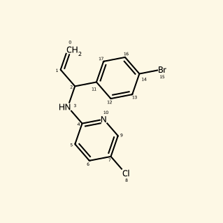 C=CC(Nc1ccc(Cl)cn1)c1ccc(Br)cc1